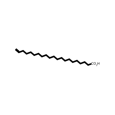 C=CCCCCCCCCCCCCCCCCCCC(=O)O